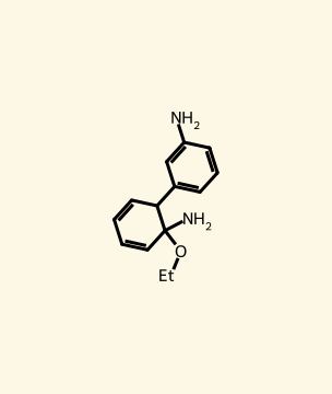 CCOC1(N)C=CC=CC1c1cccc(N)c1